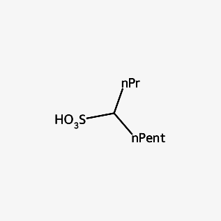 CCCCCC(CCC)S(=O)(=O)O